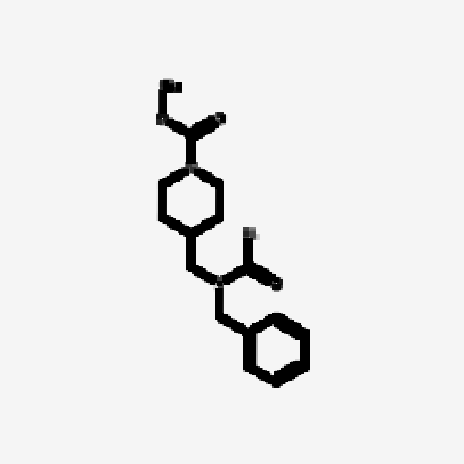 CCC(=O)N(Cc1ccccc1)CC1CCN(C(=O)OC(C)(C)C)CC1